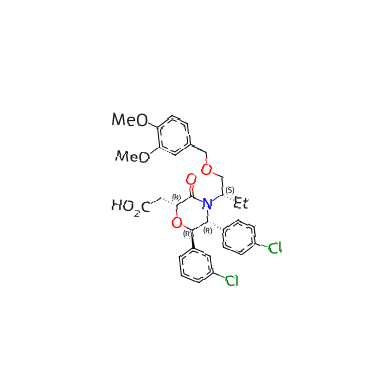 CC[C@@H](COCc1ccc(OC)c(OC)c1)N1C(=O)[C@@H](CC(=O)O)O[C@H](c2cccc(Cl)c2)[C@H]1c1ccc(Cl)cc1